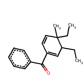 CCC1C=C(C(=O)c2ccccc2)C=CC1(C)CC